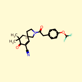 CC1(C)C[C@@]2(C=C(C#N)C1=O)CCN(C(=O)Cc1ccc(OC(F)F)cc1)C2